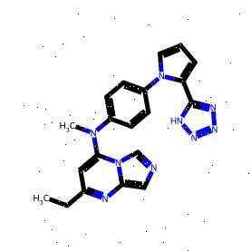 CCc1cc(N(C)c2ccc(-n3cccc3-c3nnn[nH]3)cc2)n2cncc2n1